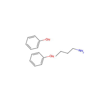 CCCCN.Oc1ccccc1.Oc1ccccc1